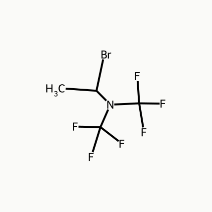 CC(Br)N(C(F)(F)F)C(F)(F)F